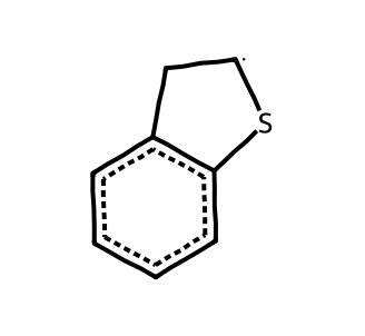 [CH]1Cc2ccccc2S1